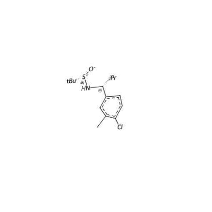 Cc1cc([C@H](N[S@@+]([O-])C(C)(C)C)C(C)C)ccc1Cl